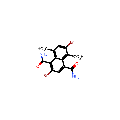 NC(=O)c1cc(Br)c(C(N)=O)c2c(C(=O)O)cc(Br)c(C(=O)O)c12